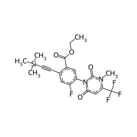 CCOC(=O)c1cc(-n2c(=O)cc(C(F)(F)F)n(C)c2=O)c(F)cc1C#C[Si](C)(C)C